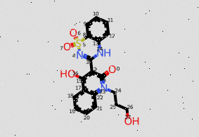 O=c1c(C2=NS(=O)(=O)c3ccccc3N2)c(O)c2ccccc2n1CCCO